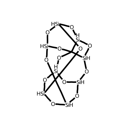 O1[SiH]2O[SiH]3O[SiH]4O[SiH]1O[SiH]1O[SiH](O2)OC2(O4)[SiH](O1)O[SiH]2O3